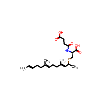 CC=CCC/C(C)=C/CC/C(C)=C/C(C)SC[C@@H](NC(=O)CCC(=O)O)C(=O)O